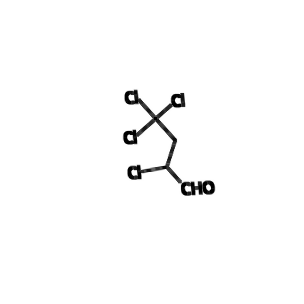 O=CC(Cl)CC(Cl)(Cl)Cl